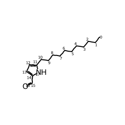 CCCCCCCCCCCc1ccc(C=O)[nH]1